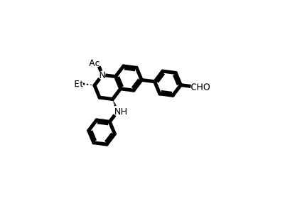 CC[C@H]1C[C@@H](Nc2ccccc2)c2cc(-c3ccc(C=O)cc3)ccc2N1C(C)=O